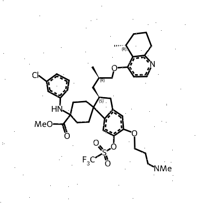 CNCCCOc1cc2c(cc1OS(=O)(=O)C(F)(F)F)C1(CCC(Nc3cccc(Cl)c3)(C(=O)OC)CC1)[C@@H](C[C@@H](C)COc1ccnc3c1[C@H](C)CCC3)C2